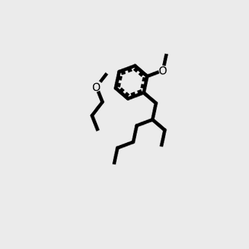 CCCCC(CC)Cc1ccccc1OC.CCCOC